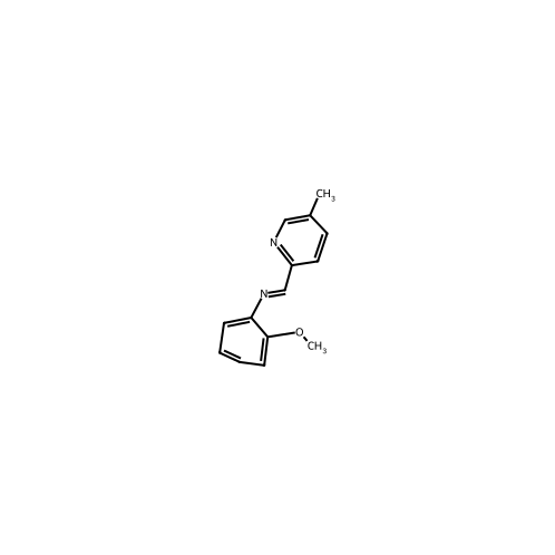 COc1ccccc1N=Cc1ccc(C)cn1